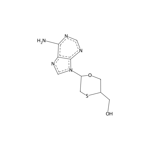 Nc1ncnc2c1ncn2C1CSC(CO)CO1